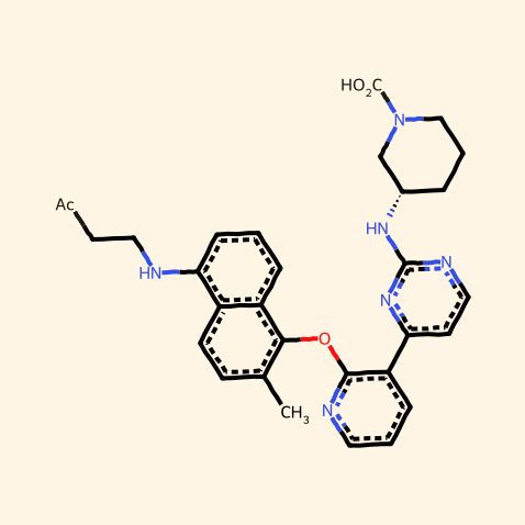 CC(=O)CCNc1cccc2c(Oc3ncccc3-c3ccnc(N[C@H]4CCCN(C(=O)O)C4)n3)c(C)ccc12